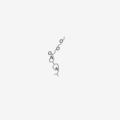 CCOCCOCCC(=O)N1CCC(C2CCN(CC(C)C)CC2)C1